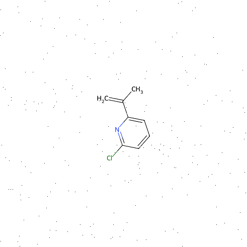 C=C(C)c1cccc(Cl)n1